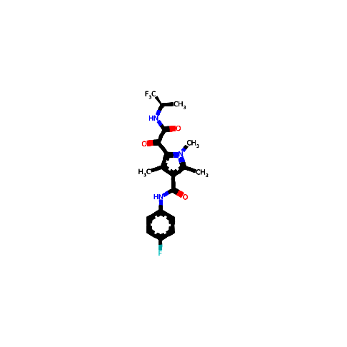 Cc1c(C(=O)Nc2ccc(F)cc2)c(C)n(C)c1C(=O)C(=O)N[C@H](C)C(F)(F)F